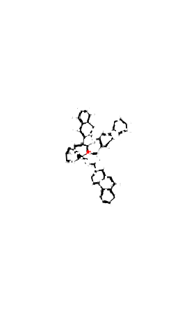 c1ccc(-c2nc(-c3ccc4c(ccc5ccccc54)c3)nc(-c3cc4oc5ccccc5c4cc3-n3c4ccccc4c4cc5ccccc5cc43)n2)cc1